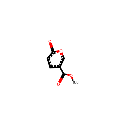 CC(C)(C)OC(=O)c1ccc(=O)oc1